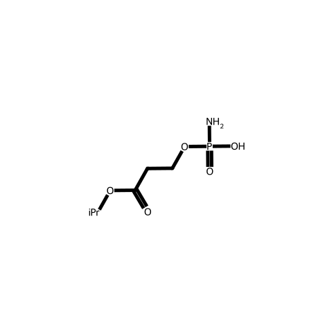 CC(C)OC(=O)CCOP(N)(=O)O